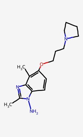 Cc1c(OCCCN2CCCC2)ccc2c1nc(C)n2N